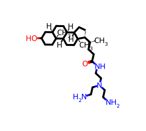 C[C@H](CCC(=O)NCCN(CCN)CCN)[C@H]1CC[C@H]2[C@@H]3CC[C@@H]4CC(O)CC[C@]4(C)[C@H]3CC[C@]12C